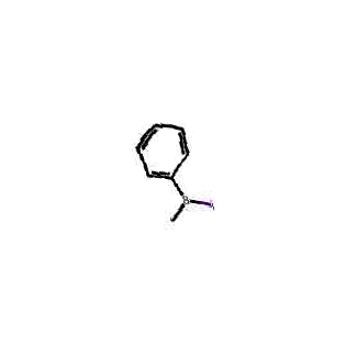 CB(I)c1ccccc1